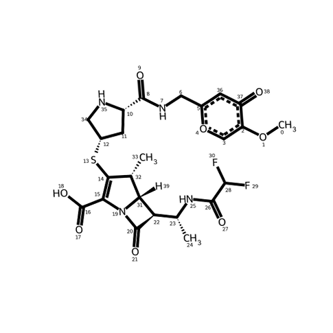 COc1coc(CNC(=O)[C@@H]2C[C@H](SC3=C(C(=O)O)N4C(=O)[C@H]([C@@H](C)NC(=O)C(F)F)[C@H]4[C@H]3C)CN2)cc1=O